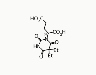 CCC1(CC)C(=O)NC(=O)N([C@@H](CCC(=O)O)C(=O)O)C1=O